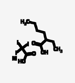 CCCCC(CC)C(=O)O.O=C(O)C(I)(I)I.[Ni]